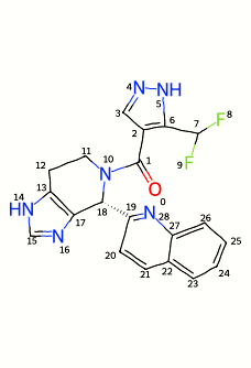 O=C(c1cn[nH]c1C(F)F)N1CCc2[nH]cnc2[C@H]1c1ccc2ccccc2n1